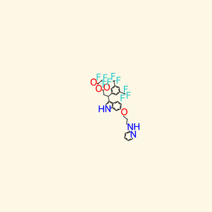 O=C(CC(c1cc(C(F)(F)F)cc(C(F)(F)F)c1)c1c[nH]c2cc(OCCCNc3ccccn3)ccc12)OC(=O)C(F)(F)F